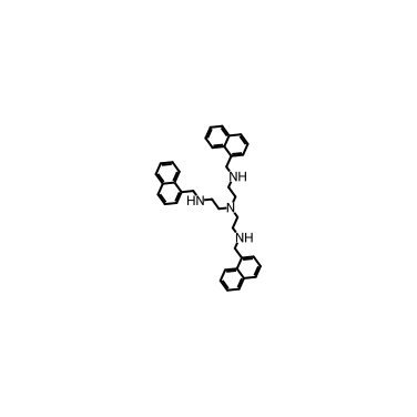 c1ccc2c(CNCCN(CCNCc3cccc4ccccc34)CCNCc3cccc4ccccc34)cccc2c1